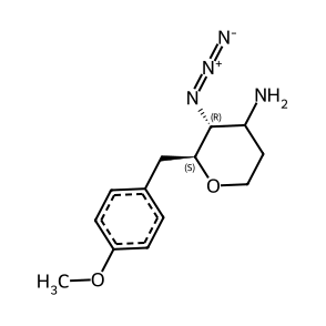 COc1ccc(C[C@@H]2OCCC(N)[C@H]2N=[N+]=[N-])cc1